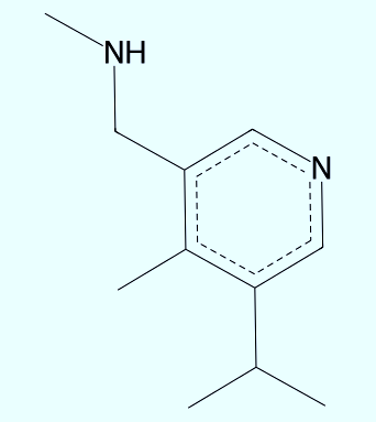 CNCc1cncc(C(C)C)c1C